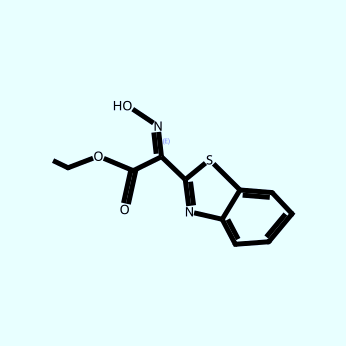 CCOC(=O)/C(=N\O)c1nc2ccccc2s1